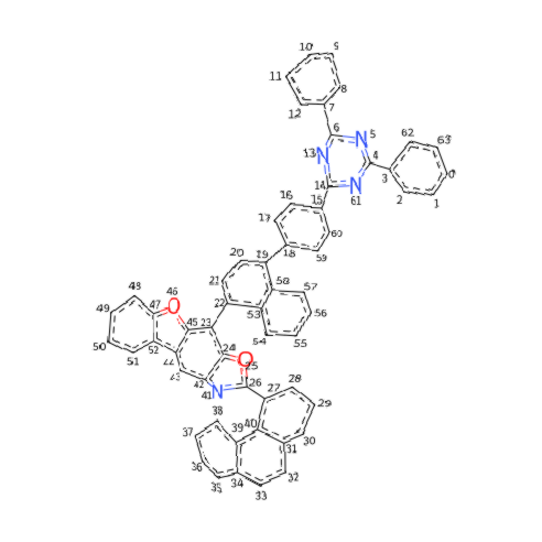 c1ccc(-c2nc(-c3ccccc3)nc(-c3ccc(-c4ccc(-c5c6oc(-c7cccc8ccc9ccccc9c78)nc6cc6c5oc5ccccc56)c5ccccc45)cc3)n2)cc1